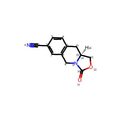 N#Cc1ccc2c(c1)CN1C(=O)OC[C@@H]1C2